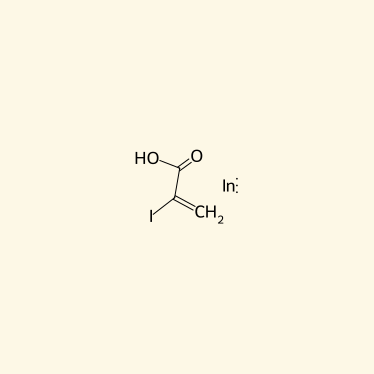 C=C(I)C(=O)O.[In]